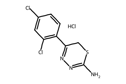 Cl.NC1=NN=C(c2ccc(Cl)cc2Cl)CS1